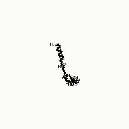 CC/C=C\C/C=C\C/C=C\C/C=C\C/C=C\C/C=C\CCC(=O)NCCSSCCNC(=O)CC/C(C)=C/Cc1c(O)c2c(c(C)c1OC)COC2=O